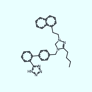 CCCCC1=NN(CCc2cccc3ccccc23)CN1Cc1ccc(-c2ccccc2-c2nnn[nH]2)cc1